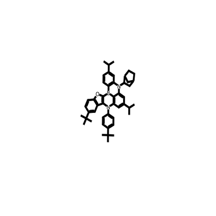 CC(C)c1ccc2c(c1)N(C1CC3CCC1C3)c1cc(C(C)C)cc3c1B2c1oc2ccc(C(C)(C)C)cc2c1N3c1ccc(C(C)(C)C)cc1